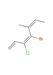 C=C/C(Cl)=C(Br)\C(C)=C/C